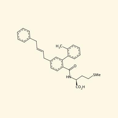 CSCC[C@H](NC(=O)c1ccc(CC=CCc2ccccc2)cc1-c1ccccc1C)C(=O)O